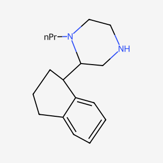 CCCN1CCNCC1C1CCCc2ccccc21